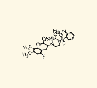 COC(=O)[C@H](Cc1cc(C)c(C)cc1F)N1CCN(S(=O)(=O)c2ccccc2[N+](=O)[O-])[C@@H](C)C1